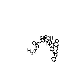 C=CCOC(=O)CCc1cnc(C#N)c(-c2ncc(-c3nc(CCCN(Cc4ccccc4)Cc4ccccc4)cc4c3CCC4)cc2C)c1